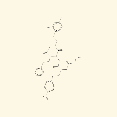 CCOC(=O)CN(CCc1ccc([N+](=O)[O-])cc1)C(=O)CC1C(=O)N(CCc2ccc(Cl)cc2Cl)CC(=O)N1CCc1cccs1